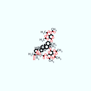 CC(=O)OC[C@H]1OC(O[C@H]2C[C@@H]3[C@]4(CC[C@]5(C)[C@@H]([C@@]6(C)CC[C@@H](C(C)(C)O)O6)[C@@H](O)C[C@@]35C)C[C@@]43CC[C@H](OC4OC[C@@H](OC(C)=O)[C@H](OC(C)=O)[C@H]4OC(C)=O)C(C)(C)[C@H]23)[C@H](OC(C)=O)[C@@H](OC(C)=O)[C@@H]1OC(C)=O